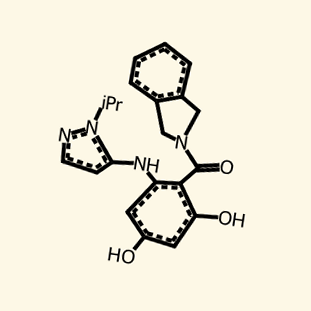 CC(C)n1nccc1Nc1cc(O)cc(O)c1C(=O)N1Cc2ccccc2C1